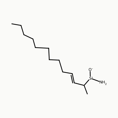 CCCCCCCCCC=CC(C)[S+](N)[O-]